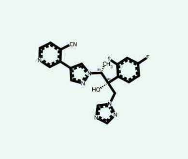 C[C@@H](n1cc(-c2cnccc2C#N)cn1)[C@](O)(Cn1cncn1)c1ccc(F)cc1F